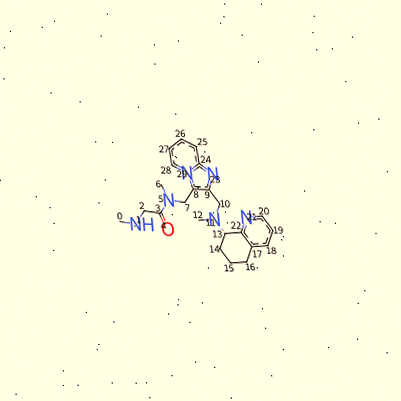 CNCC(=O)N(C)Cc1c(CN(C)[C@H]2CCCc3cccnc32)nc2ccccn12